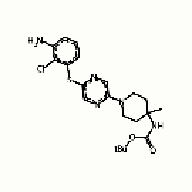 CC1(NC(=O)OC(C)(C)C)CCN(c2cnc(Sc3cccc(N)c3Cl)cn2)CC1